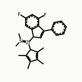 CC1=C(C)[CH]([Zr]([CH]2C=C(c3ccccc3)c3c(F)cc(F)cc32)=[Si](C)C)C(C)=C1C